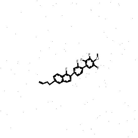 C=CCCc1ccc2c(F)c(-c3ccc(-c4cc(F)c(OC)c(F)c4F)c(F)c3)ccc2c1